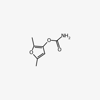 Cc1cc(OC(N)=O)c(C)o1